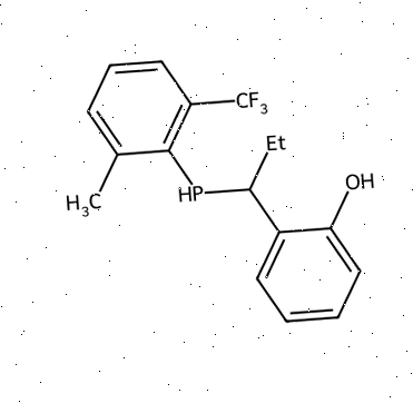 CCC(Pc1c(C)cccc1C(F)(F)F)c1ccccc1O